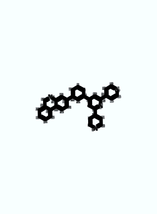 c1cc(-c2cc(-c3ccncc3)nc(-c3ccncc3)c2)cc(-c2ccc3c(c2)ncc2ccccc23)c1